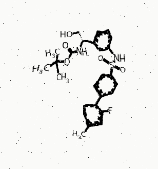 Cc1ccc(-c2ccc(S(=O)(=O)Nc3cccc([C@@H](CO)NC(=O)OC(C)(C)C)c3)cc2)c(F)c1